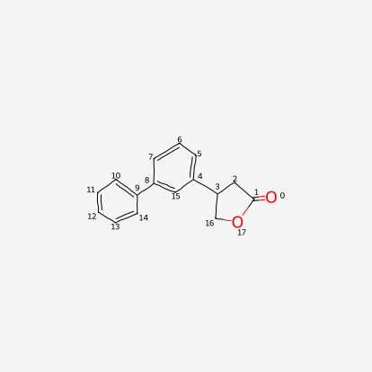 O=C1CC(c2cccc(-c3ccccc3)c2)CO1